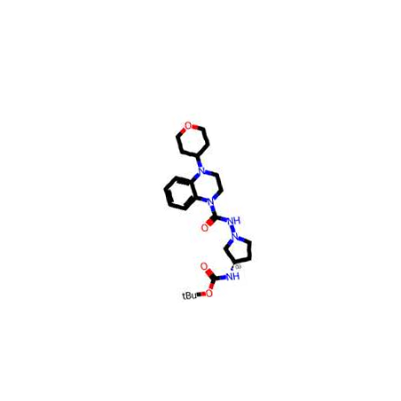 CC(C)(C)OC(=O)N[C@H]1CCN(NC(=O)N2CCN(C3CCOCC3)c3ccccc32)C1